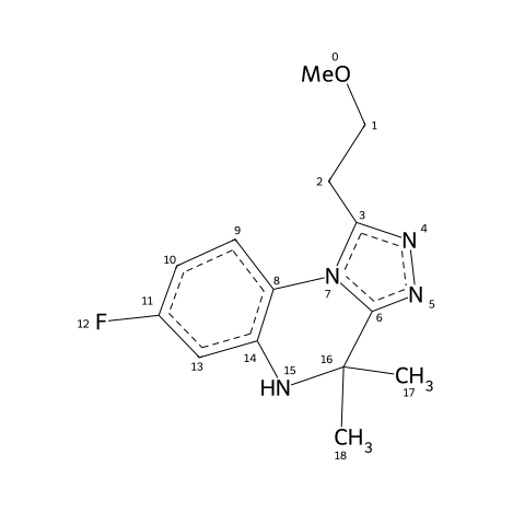 COCCc1nnc2n1-c1ccc(F)cc1NC2(C)C